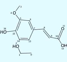 CCO.COc1cc(/C=C/C(=O)O)ccc1O